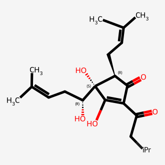 CC(C)=CC[C@@H](O)[C@]1(O)C(O)=C(C(=O)CC(C)C)C(=O)[C@@H]1CC=C(C)C